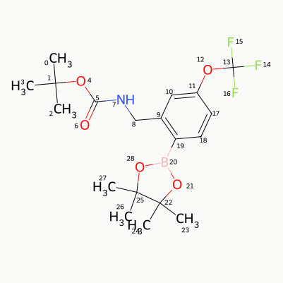 CC(C)(C)OC(=O)NCc1cc(OC(F)(F)F)ccc1B1OC(C)(C)C(C)(C)O1